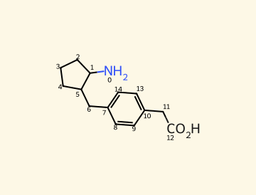 NC1CCCC1Cc1ccc(CC(=O)O)cc1